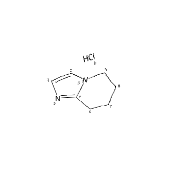 Cl.c1cn2c(n1)CCCC2